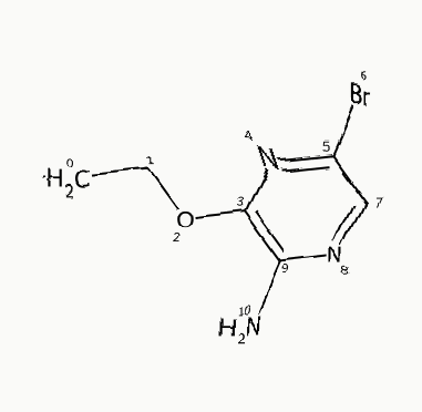 [CH2]COc1nc(Br)cnc1N